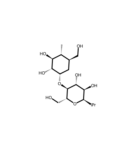 CC(C)[C@H]1O[C@H](CO)[C@@H](O[C@H]2C[C@H](CO)[C@@H](C)[C@H](O)[C@H]2O)[C@H](O)[C@H]1O